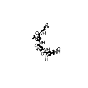 CC(C)n1cc(NC(=O)c2cc(NC(=O)c3cc(C(C)(C)NC=O)c[nH]3)cn2C)cc1C(=O)NCCCN(C)C